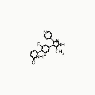 Cc1[nH]nc(-c2ccncc2)c1-c1cc(F)c(-c2cccc(=O)[nH]2)c(F)c1